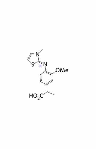 COc1cc(C(C)C(=O)O)ccc1/N=c1\sccn1C